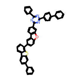 c1ccc(-c2ccc(-c3nc(-c4ccccc4)nc(-c4ccc5c(c4)oc4ccc(-c6cccc7c6sc6cc(-c8ccccc8)ccc67)cc45)n3)cc2)cc1